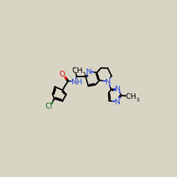 Cc1nccc(N2CCCc3nc(C(C)NC(=O)c4ccc(Cl)cc4)ccc32)n1